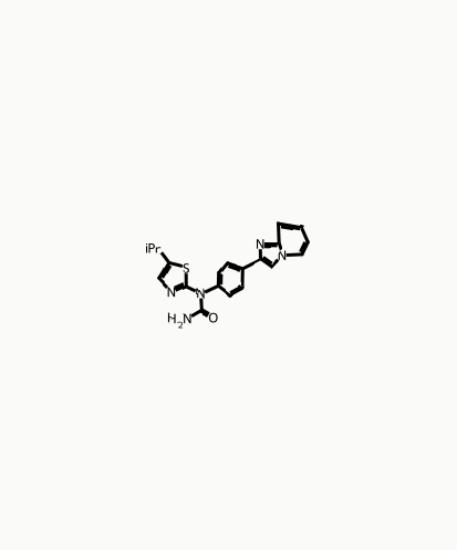 CC(C)c1cnc(N(C(N)=O)c2ccc(-c3cn4ccccc4n3)cc2)s1